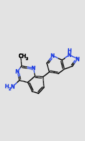 Cc1nc(N)c2cccc(-c3cnc4[nH]ncc4c3)c2n1